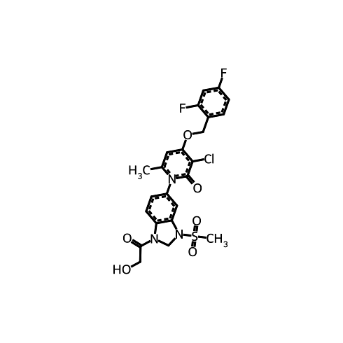 Cc1cc(OCc2ccc(F)cc2F)c(Cl)c(=O)n1-c1ccc2c(c1)N(S(C)(=O)=O)CN2C(=O)CO